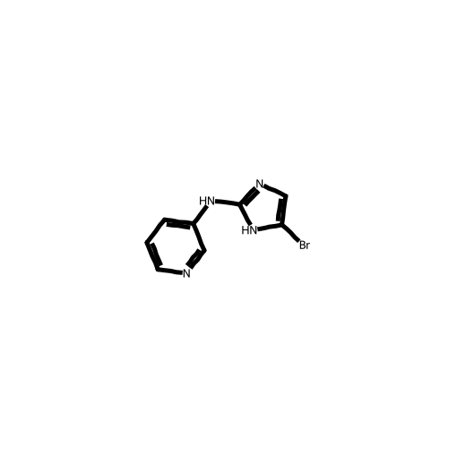 Brc1cnc(Nc2cccnc2)[nH]1